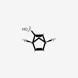 O=C(O)C1=C[C@@H]2C=C[C@H]1C2